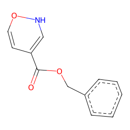 O=C(OCc1ccccc1)C1=CNOC=C1